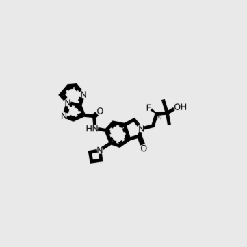 CC(C)(O)[C@H](F)CN1Cc2cc(NC(=O)c3cnn4cccnc34)c(N3CCC3)cc2C1=O